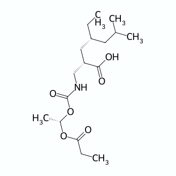 CCC(=O)O[C@H](C)OC(=O)NC[C@H](C[C@H](CC)CC(C)C)C(=O)O